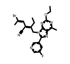 CCOc1nc(C)c2nc(-c3cncc(F)c3)n(C/C(CC)=C(C#N)/C=C(\C)Br)c2n1